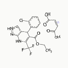 CCOC(=O)C1=C(C(F)(F)F)Nc2n[nH]cc2C1c1ccccc1Cl.O=C(O)/C=C\C(=O)O